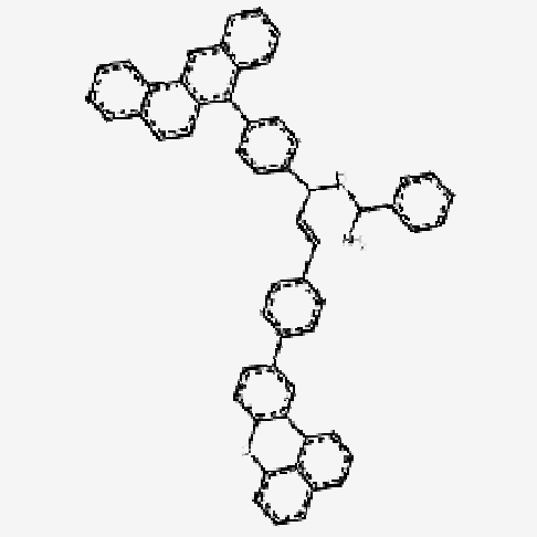 NC(NC(/C=C/c1ccc(-c2ccc3c(c2)-c2cccc4cccc(c24)O3)cc1)c1ccc(-c2c3ccccc3cc3c2ccc2ccccc23)cc1)c1ccccc1